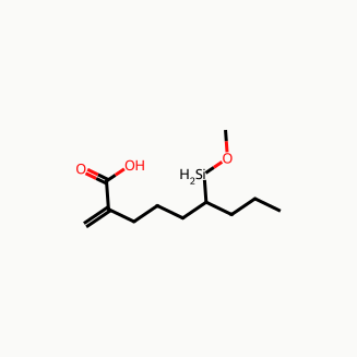 C=C(CCCC(CCC)[SiH2]OC)C(=O)O